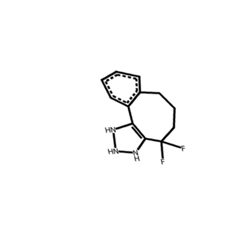 FC1(F)CCCc2ccccc2C2=C1NNN2